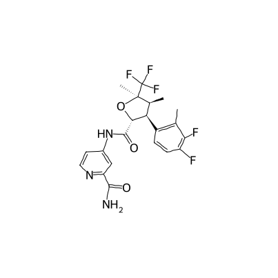 Cc1c([C@H]2[C@H](C(=O)Nc3ccnc(C(N)=O)c3)O[C@@](C)(C(F)(F)F)[C@H]2C)ccc(F)c1F